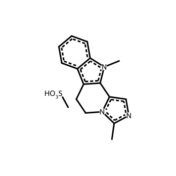 CS(=O)(=O)O.Cc1ncc2n1CCc1c-2n(C)c2ccccc12